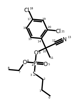 CCCSP(=O)(OCC)OC(C)(C#N)c1ccc(Cl)cc1Cl